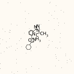 CC(C)n1cnnc1-c1cccc(-c2ncc(C3CCCCC3)o2)n1